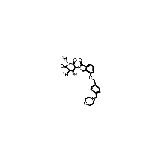 [2H]C1C(=O)N([2H])C(=O)C(N2Cc3c(OCc4ccc(CN5CCOCC5)cc4)cccc3C2=O)C1[2H]